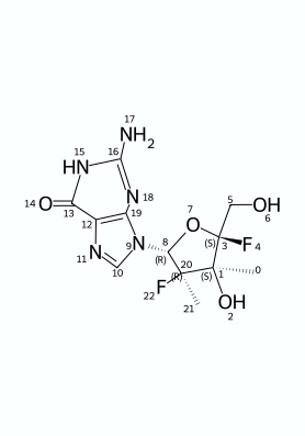 C[C@@]1(O)[C@@](F)(CO)O[C@@H](n2cnc3c(=O)[nH]c(N)nc32)[C@]1(C)F